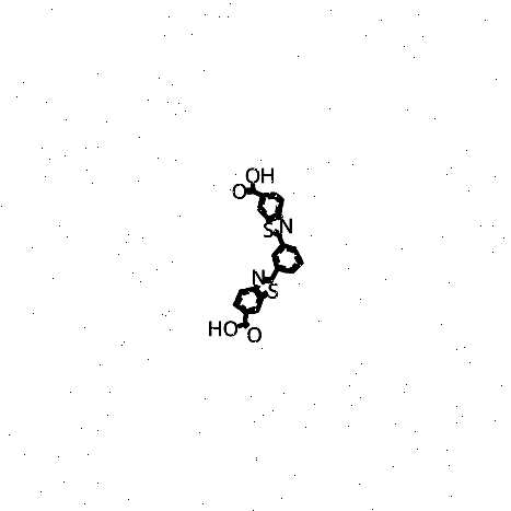 O=C(O)c1ccc2nc(-c3cccc(-c4nc5ccc(C(=O)O)cc5s4)c3)sc2c1